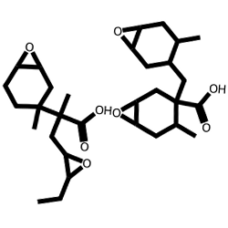 CC1CC2OC2CC1CC1(C(=O)O)CC2OC2CC1C.CCC1OC1CC(C)(C(=O)O)C1(C)CCC2OC2C1